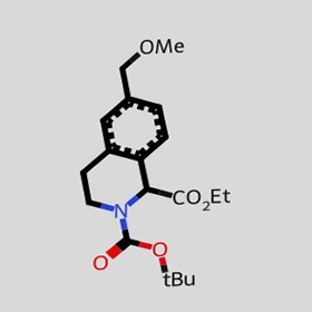 CCOC(=O)C1c2ccc(COC)cc2CCN1C(=O)OC(C)(C)C